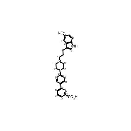 N#Cc1ccc2[nH]cc(CCCN3CCN(c4ncc(-c5cccc(C(=O)O)n5)cn4)CC3)c2c1